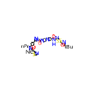 CCCC(c1ccc(-c2cnn(CC(=O)N3CCC(N4CCC(C(=O)Nc5ncc(SCc6ncc(C(C)(C)C)o6)s5)CC4)CC3)c2)cc1)N(C)C(=O)/C(C#N)=C/c1nccs1